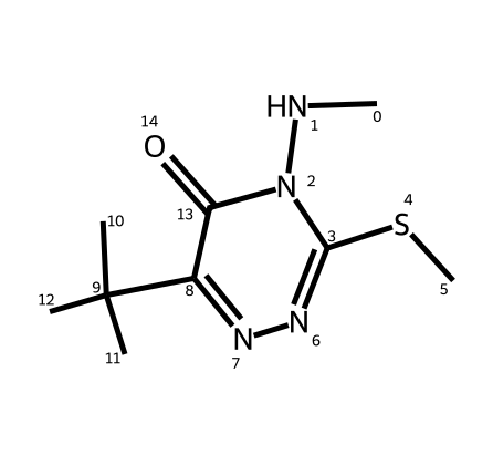 CNn1c(SC)nnc(C(C)(C)C)c1=O